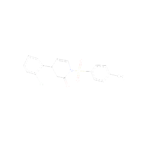 Cc1ccc(S(=O)(=O)N2C=CC(c3ccccc3Cl)CC2=O)cc1